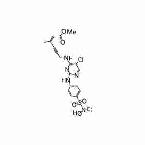 CCN(O)S(=O)(=O)c1ccc(Nc2ncc(Cl)c(NCC#CC(C)=CC(=O)OC)n2)cc1